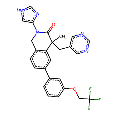 CC1(Cc2cncnc2)C(=O)N(c2c[nH]cn2)Cc2ccc(-c3cccc(OCC(F)(F)F)c3)cc21